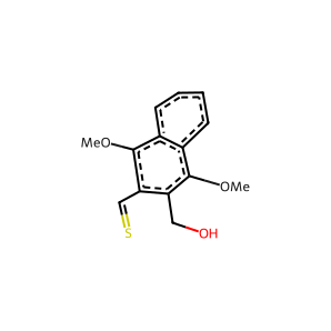 COc1c(C=S)c(CO)c(OC)c2ccccc12